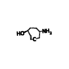 NC1CC/C=C/[C@@H](O)CC1